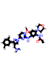 C=CC(=O)Nc1cc(Nc2nccc(-n3cc(CN(C)C)c(-c4cc(C)ccc4C)n3)n2)c(OC)cc1N1CCOCC1